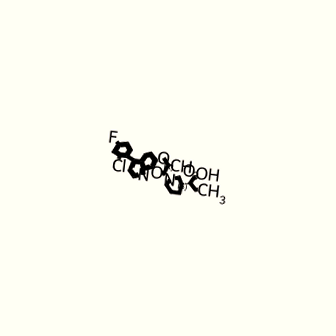 CCC(C(=O)O)[C@@H]1CCCN(C(=O)[C@@H](C)Oc2ccc3c(-c4ccc(F)cc4Cl)ccnc3c2)C1